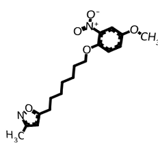 COc1ccc(OCCCCCCCc2cc(C)no2)c([N+](=O)[O-])c1